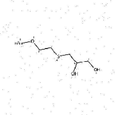 CCCCOCCSCC(O)CO